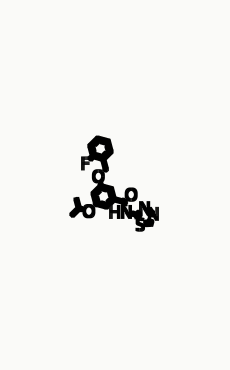 CC(C)Oc1cc(OCc2ccccc2F)cc(C(=O)Nc2nncs2)c1